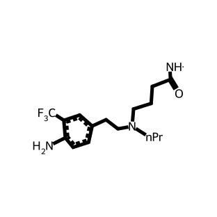 CCCN(CCCC([NH])=O)CCc1ccc(N)c(C(F)(F)F)c1